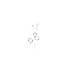 Cc1cc(Cl)cc(-c2ncnn3cc(CN4C(=O)C5C(C4=O)C5(C)C)cc23)c1COS(C)(=O)=O